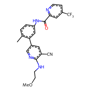 COCCNc1ncc(-c2cc(NC(=O)c3cc(C(F)(F)F)ccn3)ccc2C)cc1C#N